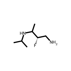 CC(C)NC(C)[C@@H](F)CN